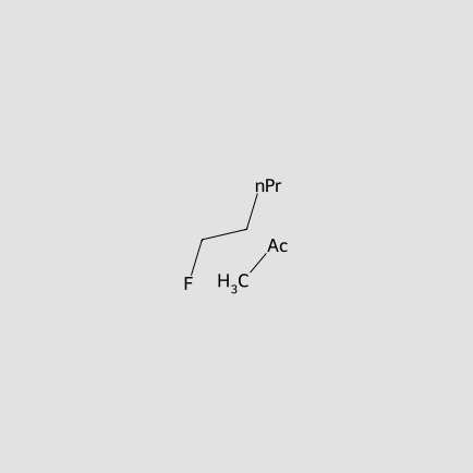 CC(C)=O.CCCCCF